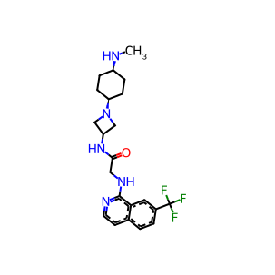 CN[C@H]1CC[C@@H](N2CC(NC(=O)CNc3nccc4ccc(C(F)(F)F)cc34)C2)CC1